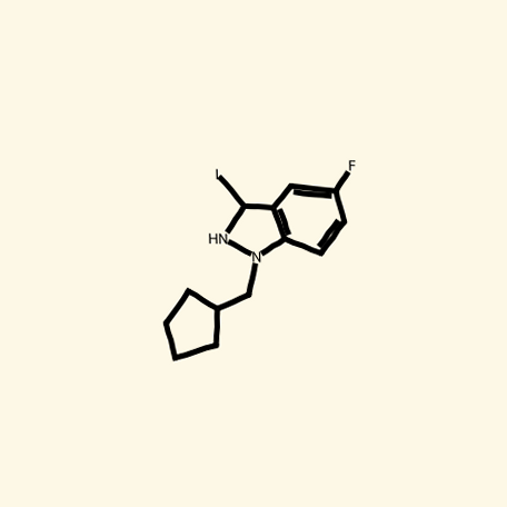 Fc1ccc2c(c1)C(I)NN2CC1CCCC1